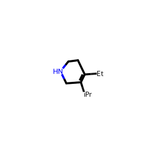 CCC1=C(C(C)C)CNCC1